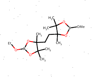 CCOB1OC(C)(C)C(C)(CCC2(C)OB(OC)OC2(C)C)O1